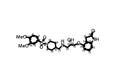 COc1ccc(S(=O)(=O)N2CCC(CNC[C@H](O)COc3cccc4c3CC(=O)N4)CC2)cc1OC